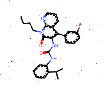 CCCCn1c(=O)c(NC(=O)Nc2ccccc2C(C)C)c(-c2cccc(Br)c2)c2cccnc21